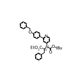 CCOC(=O)[C@H](Cc1ccccc1)N(C(=O)OC(C)(C)C)c1ccnc(-c2ccc(OCc3ccccc3)cc2)c1